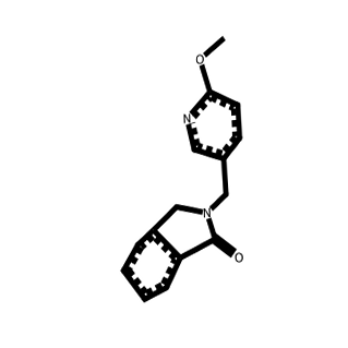 COc1ccc(CN2Cc3ccccc3C2=O)cn1